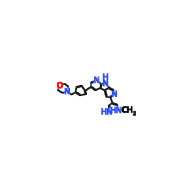 CN/C=C(\C=N)c1cc2c(cn1)[nH]c1ncc(-c3ccc(CN4CCOCC4)cc3)cc12